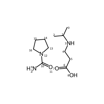 CC(C)NCCC(=O)O.NC(=O)N1CCCC1